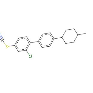 CC1CCC(c2ccc(-c3ccc(SC#N)cc3Cl)cc2)CC1